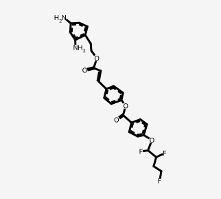 Nc1ccc(CCOC(=O)/C=C/c2ccc(OC(=O)c3ccc(OC(F)C(F)CCF)cc3)cc2)c(N)c1